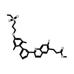 CCS(=O)(=O)CCCOc1cc(C)c(-c2cccc(-c3ccc4cc(CCC(=O)OC)c(F)cc4n3)c2)c(C)c1